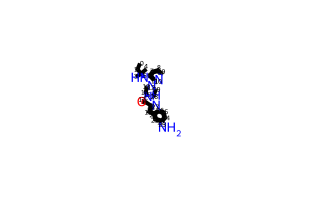 CCC(C)(C)Nc1cccnc1N1CCN(C(=O)c2cc3cc(N)ccc3[nH]2)CC1